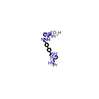 CC(C)NCC(=O)N1CCC[C@H]1c1ncc(-c2ccc(-c3ccc(-c4cnc([C@@H]5CCCN5C(=O)[C@@H](NC(=O)O)C(C)C)[nH]4)cc3)cc2)[nH]1